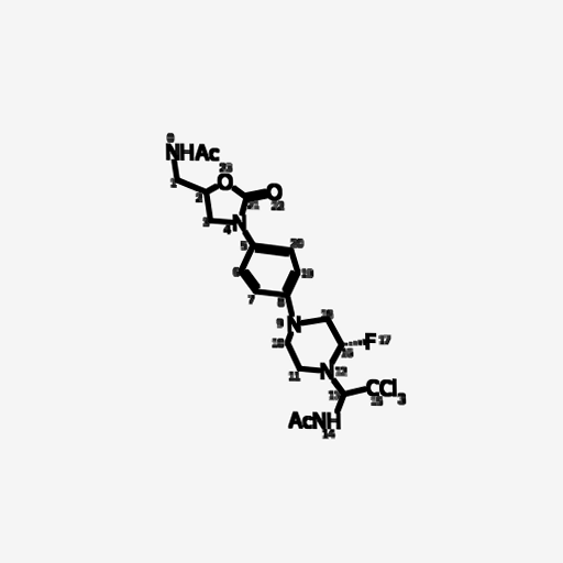 CC(=O)NCC1CN(c2ccc(N3CCN(C(NC(C)=O)C(Cl)(Cl)Cl)[C@@H](F)C3)cc2)C(=O)O1